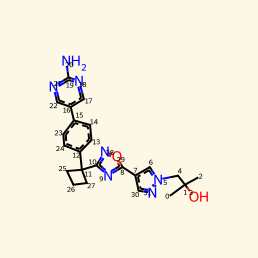 CC(C)(O)Cn1cc(-c2nc(C3(c4ccc(-c5cnc(N)nc5)cc4)CCC3)no2)cn1